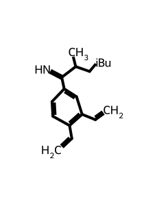 C=Cc1ccc(C(=N)C(C)CC(C)CC)cc1C=C